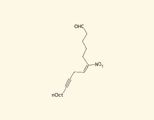 CCCCCCCCC#CCC=C(CCCC[C]=O)[N+](=O)[O-]